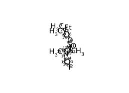 CCC(C)(C)c1ccc(OCC(=O)N2C[C@H](C)N(Cc3ccc(F)cc3)C[C@H]2C)cc1